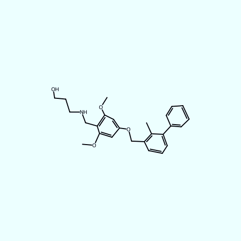 COc1cc(OCc2cccc(-c3ccccc3)c2C)cc(OC)c1CNCCCO